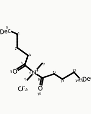 CCCCCCCCCCCCCC(=O)[N+](C)(C)C(=O)CCCCCCCCCCCCC.[Cl-]